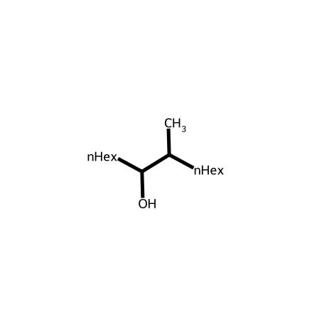 CCCCCCC(C)C(O)CCCCCC